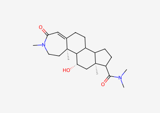 CN(C)C(=O)C1CCC2C3CCC4=CC(=O)N(C)CC[C@]4(C)C3[C@@H](O)C[C@]12C